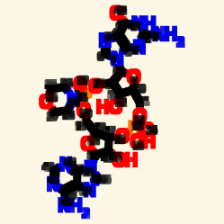 Nc1nc2c(ncn2C2OC3COP(=O)(O)OC4C(COP(=O)(N5CCOCC5)OC2C3O)OC(n2cnc3c(N)ncnc32)C4O)c(=O)[nH]1